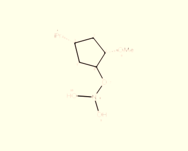 CO[C@H]1C[C@@H](C(C)C)CC1ON(O)O